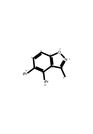 Cc1noc2ccc(C(C)C)c(C(C)C)c12